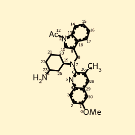 COc1ccc2nc(N(Cc3cn(C(C)=O)c4ccccc34)C3CCCC(N)C3)c(C)cc2c1